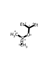 CCC(CC)O[SiH](C)C